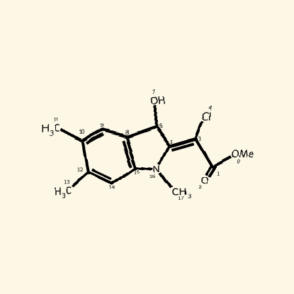 COC(=O)C(Cl)=C1C(O)c2cc(C)c(C)cc2N1C